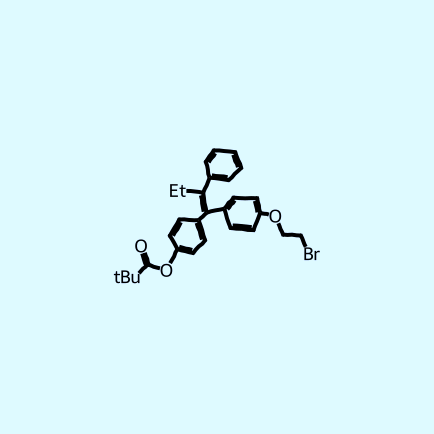 CCC(=C(c1ccc(OCCBr)cc1)c1ccc(OC(=O)C(C)(C)C)cc1)c1ccccc1